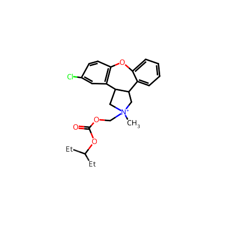 CCC(CC)OC(=O)OC[N+]1(C)CC2c3ccccc3Oc3ccc(Cl)cc3C2C1